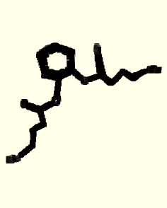 CC(C)(C)CCCC(=O)Oc1ccccc1OC(=O)CCCC(C)(C)C